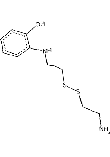 NCCSSCCNc1ccccc1O